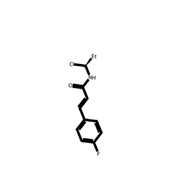 CC[C@H](Cl)NC(=O)/C=C/c1ccc(F)cc1